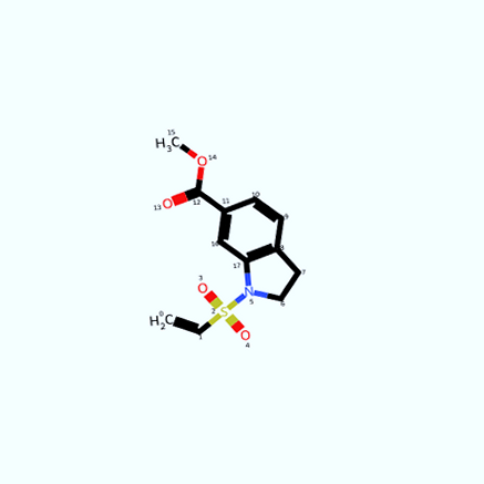 C=CS(=O)(=O)N1CCc2ccc(C(=O)OC)cc21